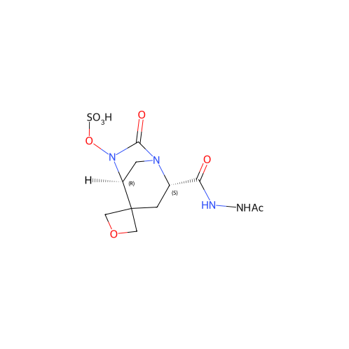 CC(=O)NNC(=O)[C@@H]1CC2(COC2)[C@@H]2CN1C(=O)N2OS(=O)(=O)O